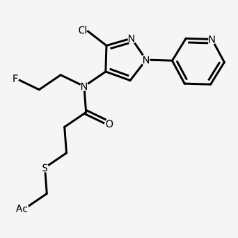 CC(=O)CSCCC(=O)N(CCF)c1cn(-c2cccnc2)nc1Cl